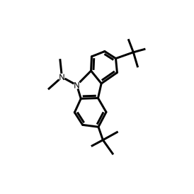 CN(C)n1c2ccc(C(C)(C)C)cc2c2cc(C(C)(C)C)ccc21